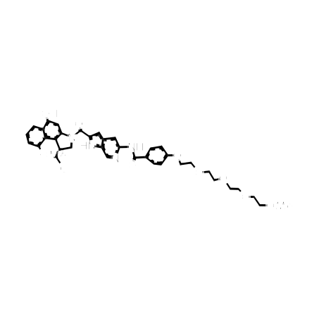 COCCOCCOCCOCCOc1ccc(C(=O)Nc2cc3cc(C(=O)N4C[C@@H](CCl)c5c4cc(O)c4cccc(OC)c54)[nH]c3cn2)cc1